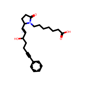 O=C(O)CCCCCCN1C(=O)CCC1/C=C/C(O)CCC#Cc1ccccc1